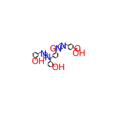 C[C@@H]1CN(C(c2cccc(O)c2)c2cccc(C(=O)N3CCN(Cc4ccc(C(=O)O)cc4)CC3)c2)[C@H](C)CN1Cc1cccc(O)c1